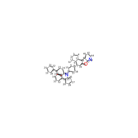 CC1CC=Cc2c1c(-c1ccc(N(c3ccc(-c4ccccc4)cc3)c3ccccc3-c3ccccc3)cc1)cc1oc3ncccc3c21